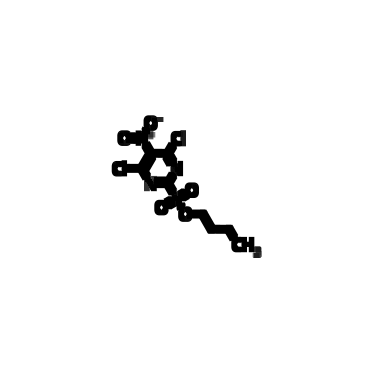 CCCCOS(=O)(=O)c1nc(Cl)c([N+](=O)[O-])c(Cl)n1